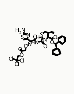 C=CC1=C(C(=O)OC(c2ccccc2)c2ccccc2)N2C(=O)C(NC(=O)C(=NOCC(=O)OCC(Cl)(Cl)Cl)c3csc(N)n3)[C@@H]2SC1